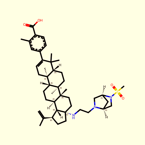 C=C(C)[C@@H]1CC[C@]2(NCCN3C[C@@H]4C[C@H]3CN4S(C)(=O)=O)CC[C@]3(C)[C@H](CC[C@@H]4[C@@]5(C)CC=C(c6ccc(C(=O)O)c(C)c6)C(C)(C)[C@@H]5CC[C@]43C)[C@@H]12